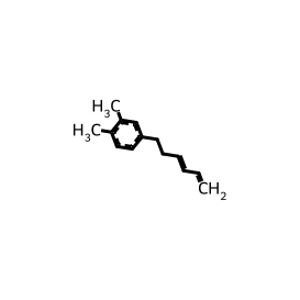 C=CC=CCCc1ccc(C)c(C)c1